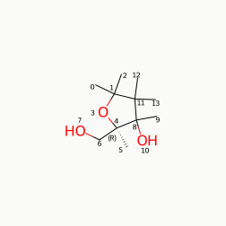 CC1(C)O[C@](C)(CO)C(C)(O)C1(C)C